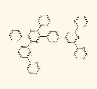 c1ccc(-c2nc(-c3ccccc3)c(-c3cccc(-c4ccccn4)c3)nc2-c2ccc(-c3cc(-c4ccccn4)nc(-c4ccccn4)c3)cc2)cc1